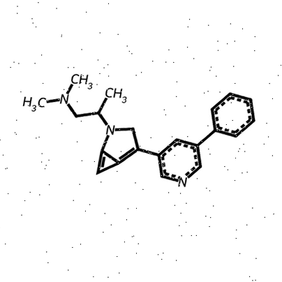 CC(CN(C)C)N1CC(c2cncc(-c3ccccc3)c2)=C2C=C21